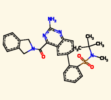 CN(C(C)(C)C)S(=O)(=O)c1ccccc1-c1ccc2nc(N)nc(C(=O)N3Cc4ccccc4C3)c2c1